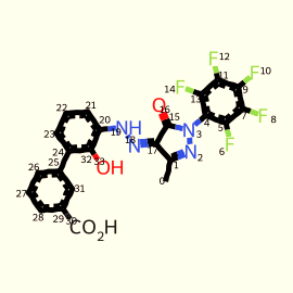 CC1=NN(c2c(F)c(F)c(F)c(F)c2F)C(=O)C1=NNc1cccc(-c2cccc(C(=O)O)c2)c1O